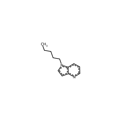 CCCCCn1ccc2ncccc21